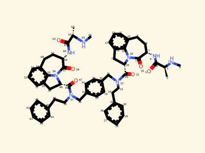 CN[C@@H](C)C(=O)N[C@H]1CCc2cccc3c2N(C1=O)[C@H](C(=O)N(CCc1ccccc1)Cc1ccc(CN(CCc2ccccc2)C(=O)[C@@H]2Cc4cccc5c4N2C(=O)[C@@H](NC(=O)[C@H](C)NC)CC5)cc1)C3